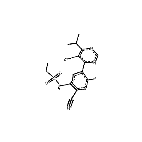 CCS(=O)(=O)Nc1cc(-c2ncnc(C(C)C)c2Cl)c(F)cc1C#N